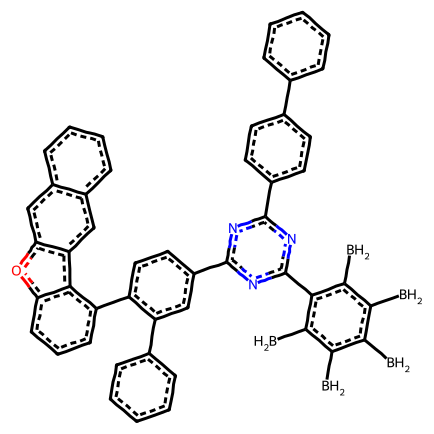 Bc1c(B)c(B)c(-c2nc(-c3ccc(-c4ccccc4)cc3)nc(-c3ccc(-c4cccc5oc6cc7ccccc7cc6c45)c(-c4ccccc4)c3)n2)c(B)c1B